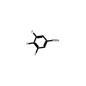 CNc1cc(F)c(F)c(F)c1